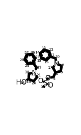 CS(=O)(=O)OCC1CCN(Cc2ccccc2)C1.OC1CCN(Cc2ccccc2)C1